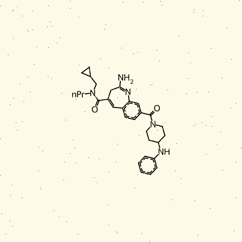 CCCN(CC1CC1)C(=O)C1=Cc2ccc(C(=O)N3CCC(Nc4ccccc4)CC3)cc2N=C(N)C1